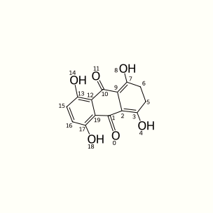 O=C1C2=C(O)CCC(O)=C2C(=O)c2c(O)ccc(O)c21